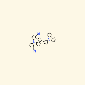 N#Cc1cccc(-n2c3ccccc3c3c(C#N)cccc32)c1-c1ccc(-c2cccc(-n3c4ccccc4c4ccccc43)c2)cc1